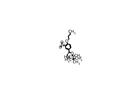 CCCCOc1ccc([C@H](CBr)O[Si](C)(C)C(C)(C)C)cc1[N+](=O)[O-]